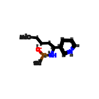 COCCCC(N[S+]([O-])C(C)(C)C)c1cccnc1